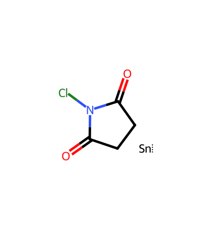 O=C1CCC(=O)N1Cl.[Sn]